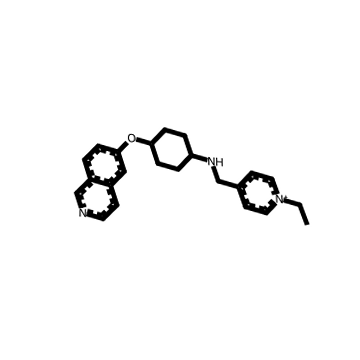 CC[n+]1ccc(CNC2CCC(Oc3ccc4cnccc4c3)CC2)cc1